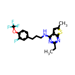 CCc1nc(NCCCc2ccc(OC(F)(F)F)c(F)c2)c2cc(C)sc2n1